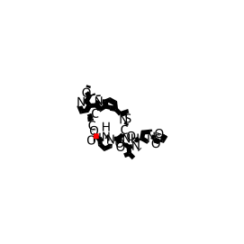 C=CS(=O)(=O)N1CC[C@H](C(=O)N(C)C(C(=O)N[C@H]2Cc3nc(cs3)-c3ccc4c(c3)c(c(-c3cccnc3[C@H](C)OC)n4C)CC(C)(C)COC(=O)[C@@H]3CCCN(N3)C2=O)C(C)C)C1